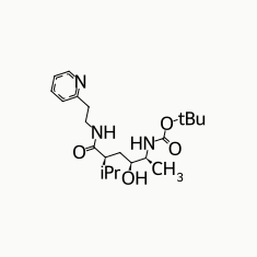 CC(C)[C@H](C[C@H](O)[C@H](C)NC(=O)OC(C)(C)C)C(=O)NCCc1ccccn1